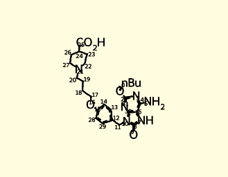 CCCCOc1nc(N)c2[nH]c(=O)n(Cc3ccc(OCCCCN4CCC(C(=O)O)CC4)cc3)c2n1